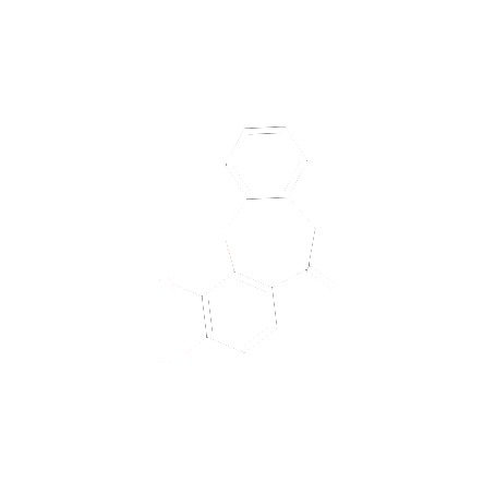 O=C1Cc2ccccc2Oc2c1ccc(O)c2O